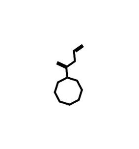 C=CCC(=C)C1CCCCCCC1